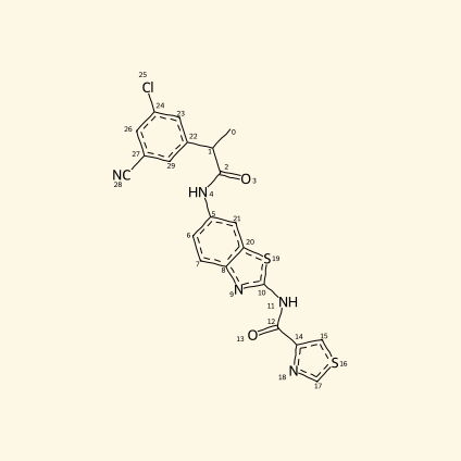 CC(C(=O)Nc1ccc2nc(NC(=O)c3cscn3)sc2c1)c1cc(Cl)cc(C#N)c1